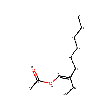 CCCCCCC(=COC(C)=O)CC